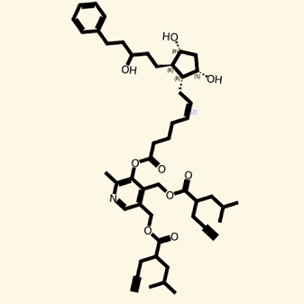 C#CCC(CC(C)C)C(=O)OCc1cnc(C)c(OC(=O)CCC/C=C\C[C@@H]2[C@@H](CCC(O)CCc3ccccc3)[C@H](O)C[C@@H]2O)c1COC(=O)C(CC#C)CC(C)C